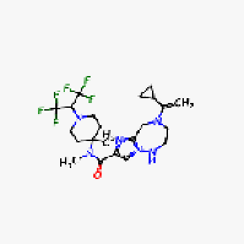 C=C(C1CC1)N1CCNn2cc(C(=O)N(C)C3(C)CCN(C(C(F)(F)F)C(F)(F)F)CC3)nc2C1